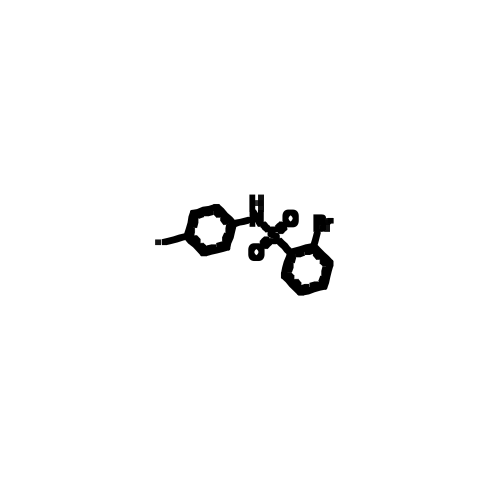 [CH2]c1ccc(NS(=O)(=O)c2ccccc2Br)cc1